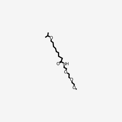 COCCOCCOCCNC(=O)CCCCCCCCOC(C)C